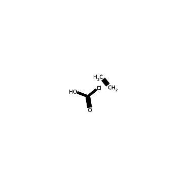 C=C.O=C(O)Cl